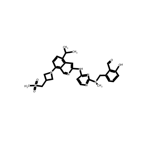 CC(C)c1ccc(N2CC(CS(C)(=O)=O)C2)c2cnc(Nc3ccnc(N(C)Cc4cccc(O)c4C=O)n3)cc12